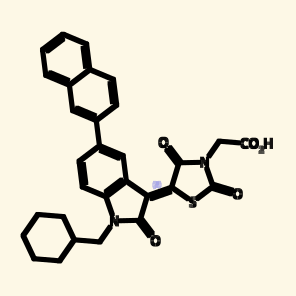 O=C(O)CN1C(=O)S/C(=C2\C(=O)N(CC3CCCCC3)c3ccc(-c4ccc5ccccc5c4)cc32)C1=O